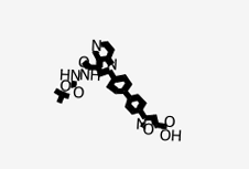 CC(C)(C)OC(=O)NNC(=O)c1cc(-c2ccc(-c3ccc(-c4cc(C(=O)O)on4)cc3)cc2)nc2ccncc12